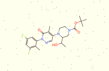 Cc1c(F)cc(F)cc1-n1ncc(N2CCN(C(=O)OC(C)(C)C)CC2C(C)O)c(C)c1=O